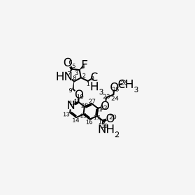 CCC1[C@H](F)C(=O)N[C@@H]1COc1nccc2cc(C(N)=O)c(OCCOC)cc12